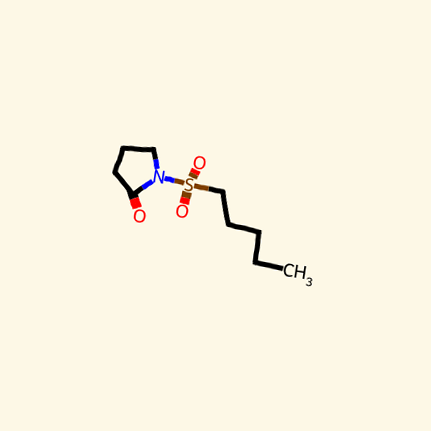 CCCCCS(=O)(=O)N1CCCC1=O